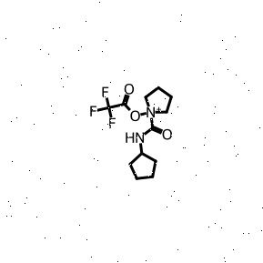 O=C(O[N+]1(C(=O)NC2CCCC2)CCCC1)C(F)(F)F